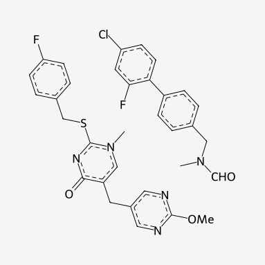 CN(C=O)Cc1ccc(-c2ccc(Cl)cc2F)cc1.COc1ncc(Cc2cn(C)c(SCc3ccc(F)cc3)nc2=O)cn1